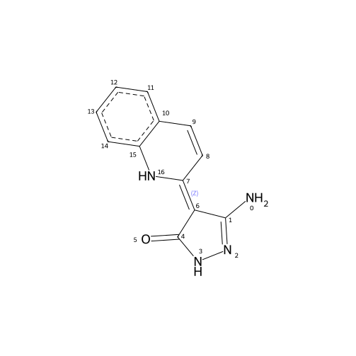 NC1=NNC(=O)/C1=C1/C=Cc2ccccc2N1